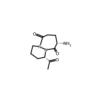 CC(=O)[C@@H]1CCCN2C(=O)CC[C@H](N)C(=O)N12